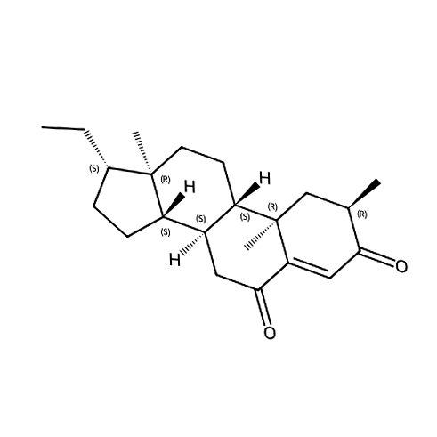 CC[C@H]1CC[C@H]2[C@@H]3CC(=O)C4=CC(=O)[C@H](C)C[C@]4(C)[C@H]3CC[C@]12C